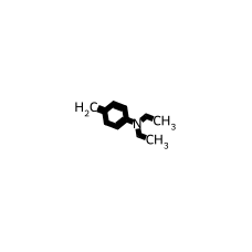 C=C1C=CC(N(CC)CC)=CC1